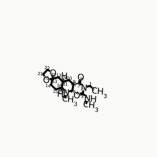 CCN(C(=O)NC)C(=O)[C@@H]1C[C@@H]2CC3(CC[C@H]2N(C)C1)OCCO3